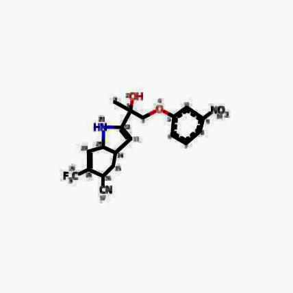 CC(O)(COc1cccc([N+](=O)[O-])c1)C1=CC2CC(C#N)C(C(F)(F)F)=CC2N1